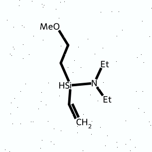 C=C[SiH](CCOC)N(CC)CC